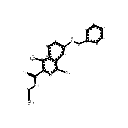 CCNC(=O)c1nc(Cl)c2cc(OCc3ccccc3)ccc2c1C